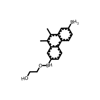 Bc1ccc2c(c1)c(C)c(C)c1cc(BOCCO)ccc12